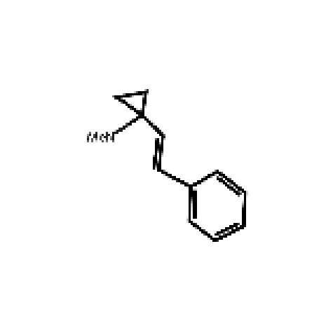 CNC1(C=Cc2ccccc2)CC1